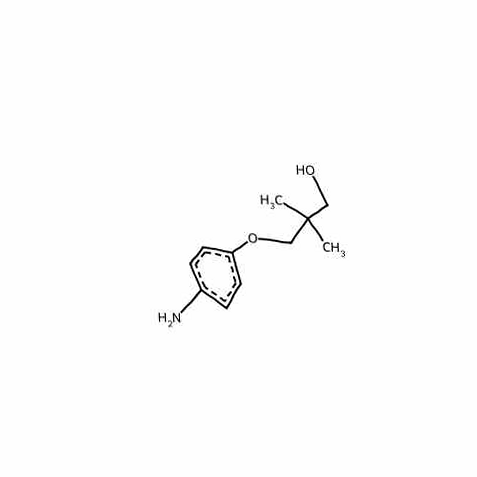 CC(C)(CO)COc1ccc(N)cc1